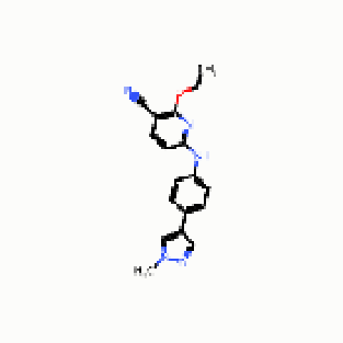 CCOc1nc(Nc2ccc(-c3cnn(C)c3)cc2)ccc1C#N